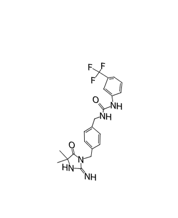 CC1(C)NC(=N)N(Cc2ccc(CNC(=O)Nc3cccc(C(F)(F)F)c3)cc2)C1=O